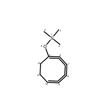 C[Si](C)(C)OC1=C=C=C=C=CCC1